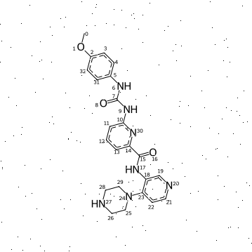 COc1ccc(NC(=O)Nc2cccc(C(=O)Nc3cnccc3N3CCNCC3)n2)cc1